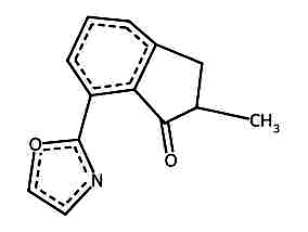 CC1Cc2cccc(-c3ncco3)c2C1=O